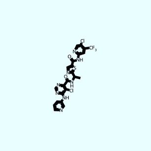 CC(NC(=O)c1ncnc(Nc2cccnc2)c1Cl)c1ncc(C(=O)Nc2cc(C(F)(F)F)c(Cl)cn2)s1